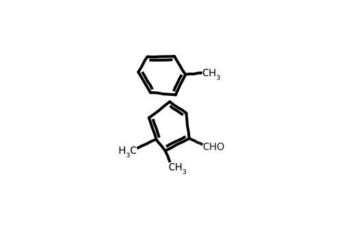 Cc1cccc(C=O)c1C.Cc1ccccc1